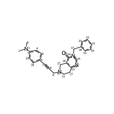 CN(C)c1ccc(C#CCN2CCc3ncn(Cc4ccccc4)c(=O)c3C2)cc1